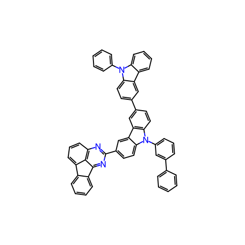 c1ccc(-c2cccc(-n3c4ccc(-c5ccc6c(c5)c5ccccc5n6-c5ccccc5)cc4c4cc(-c5nc6c7c(cccc7n5)-c5ccccc5-6)ccc43)c2)cc1